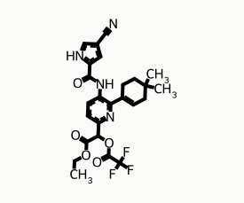 CCOC(=O)C(OC(=O)C(F)(F)F)c1ccc(NC(=O)c2cc(C#N)c[nH]2)c(C2=CCC(C)(C)CC2)n1